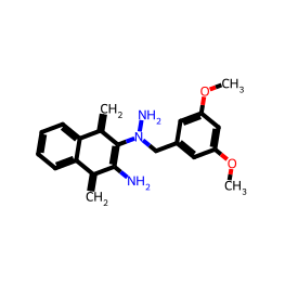 C=c1c(N)c(N(N)Cc2cc(OC)cc(OC)c2)c(=C)c2ccccc12